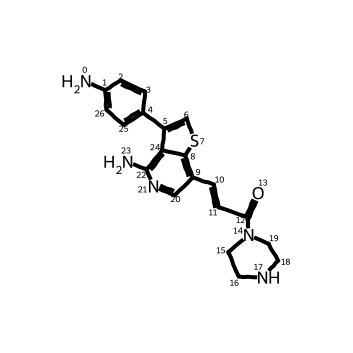 Nc1ccc(-c2csc3c(C=CC(=O)N4CCNCC4)cnc(N)c23)cc1